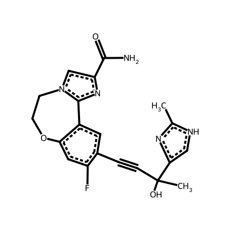 Cc1nc(C(C)(O)C#Cc2cc3c(cc2F)OCCn2cc(C(N)=O)nc2-3)c[nH]1